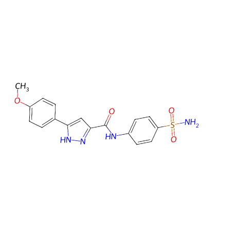 COc1ccc(-c2cc(C(=O)Nc3ccc(S(N)(=O)=O)cc3)n[nH]2)cc1